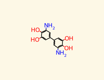 Nc1cc(-c2cc(N)c(O)c(O)c2)cc(O)c1O